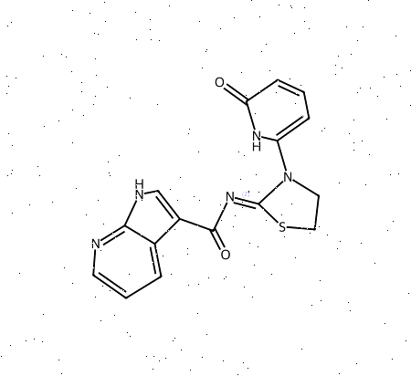 O=C(/N=C1\SCCN1c1cccc(=O)[nH]1)c1c[nH]c2ncccc12